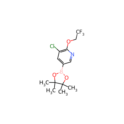 CC1(C)OB(c2cnc(OCC(F)(F)F)c(Cl)c2)OC1(C)C